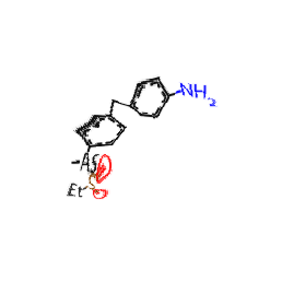 CCS(=O)(=O)[As](C)c1ccc(Cc2ccc(N)cc2)cc1